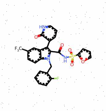 O=C(NS(=O)(=O)c1ccco1)c1c(-c2ccc[nH]c2=O)c2cc(C(F)(F)F)ccc2n1Cc1ccccc1F